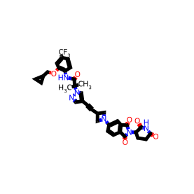 CC(C)(C(=O)Nc1ccc(C(F)(F)F)cc1OCC1CC1)n1cc(C#CC2CN(c3ccc4c(c3)C(=O)N(C3CCC(=O)NC3=O)C4=O)C2)cn1